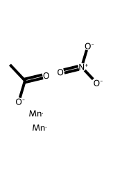 CC(=O)[O-].O=[N+]([O-])[O-].[Mn].[Mn]